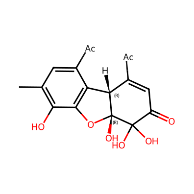 CC(=O)C1=CC(=O)C(O)(O)[C@]2(O)Oc3c(O)c(C)cc(C(C)=O)c3[C@H]12